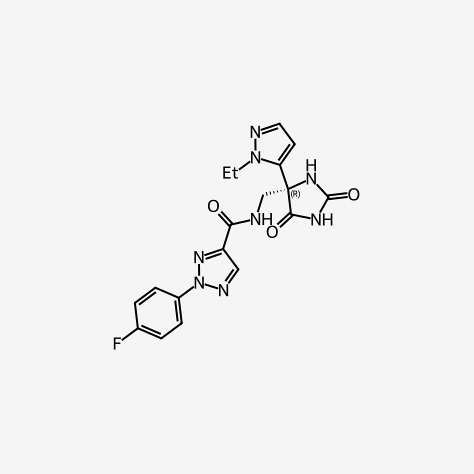 CCn1nccc1[C@@]1(CNC(=O)c2cnn(-c3ccc(F)cc3)n2)NC(=O)NC1=O